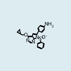 Nc1ccc(-c2cc3c(OCC4CC4)ncnc3n2[S+]([O-])c2ccccc2)cc1